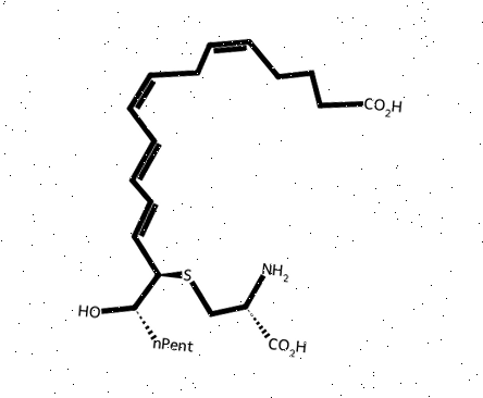 CCCCC[C@H](O)[C@@H](/C=C/C=C/C=C\C/C=C\CCCC(=O)O)SC[C@H](N)C(=O)O